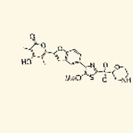 COc1sc(S(=O)(=O)C2CNCCO2)nc1-c1ccc2oc(-c3oc(=O)c(C)c(O)c3C)cc2c1